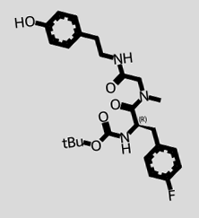 CN(CC(=O)NCCc1ccc(O)cc1)C(=O)[C@@H](Cc1ccc(F)cc1)NC(=O)OC(C)(C)C